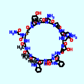 CCCC[C@H]1C(=O)N(C)[C@@H](CCCC)C(=O)N[C@@H](C)C(=O)N[C@H](C(=O)NCC(N)=O)CSCC(=O)N[C@@H](Cc2ccc(O)cc2)C(=O)N(C)[C@@H](C)C(=O)N[C@@H](CC(N)=O)C(=O)N2CCC[C@H]2C(=O)N[C@@H](Cc2cnc[nH]2)C(=O)N[C@@H](CCC(N)=O)C(=O)N2C[C@H](O)C[C@H]2C(=O)N[C@@H](Cc2c[nH]c3ccccc23)C(=O)NC(CO)C(=O)N[C@@H](Cc2c[nH]c3ccccc23)C(=O)N1C